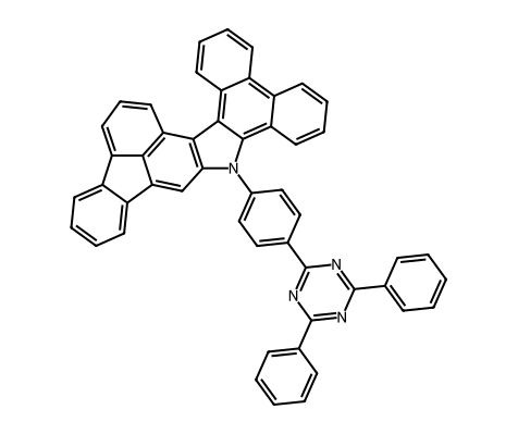 c1ccc(-c2nc(-c3ccccc3)nc(-c3ccc(-n4c5cc6c7c(cccc7c5c5c7ccccc7c7ccccc7c54)-c4ccccc4-6)cc3)n2)cc1